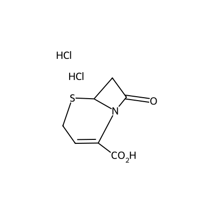 Cl.Cl.O=C(O)C1=CCSC2CC(=O)N12